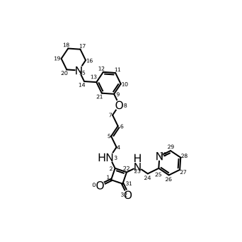 O=c1c(NCC=CCOc2cccc(CN3CCCCC3)c2)c(NCc2ccccn2)c1=O